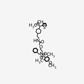 COc1cc(C)c(S(=O)(=O)N(CCOCC(=O)NCCC2CCC(C(c3cccs3)N(C)C)CC2)Cc2ccccc2)c(C)c1